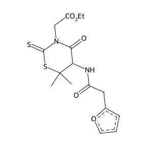 CCOC(=O)CN1C(=O)C(NC(=O)Cc2ccco2)C(C)(C)SC1=S